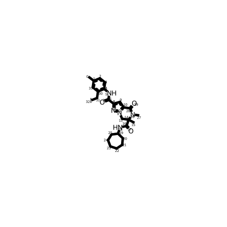 Cc1ccc(NC(=O)c2cc3n(n2)CC(C)(C(=O)NC2CCCCCC2)N(C)C3=O)c(CI)c1